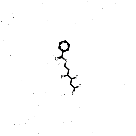 O=C(SCCC(F)C(F)CC(F)F)c1ccccc1